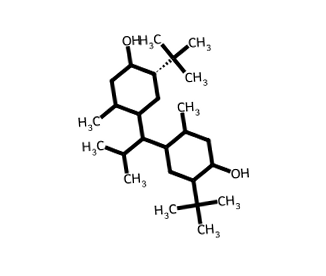 CC(C)C(C1CC(C(C)(C)C)C(O)CC1C)C1C[C@@H](C(C)(C)C)C(O)CC1C